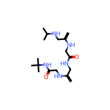 C=C(CNC(=O)CNC(=C)CNC(C)C)NCC(=O)NC(C)(C)C